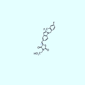 O=C(O)CN1C(=O)S/C(=C\c2ccc3c(ccn3Cc3ccc(F)cc3C(F)(F)F)c2)C1=O